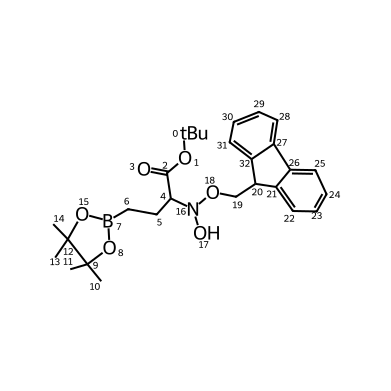 CC(C)(C)OC(=O)C(CCB1OC(C)(C)C(C)(C)O1)N(O)OCC1c2ccccc2-c2ccccc21